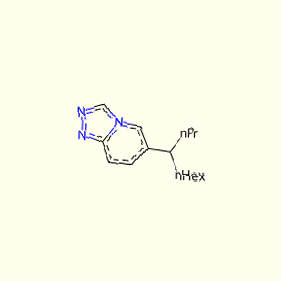 CCCCCCC(CCC)c1ccc2nncn2c1